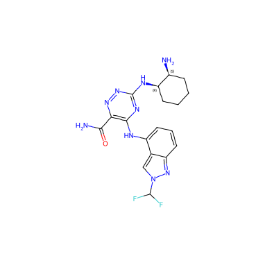 NC(=O)c1nnc(N[C@@H]2CCCC[C@@H]2N)nc1Nc1cccc2nn(C(F)F)cc12